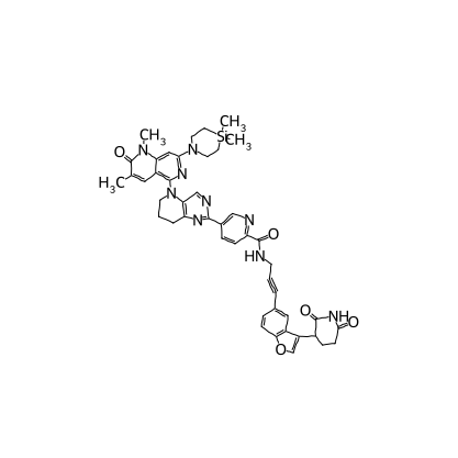 Cc1cc2c(N3CCCc4nc(-c5ccc(C(=O)NCC#Cc6ccc7occ(C8CCC(=O)NC8=O)c7c6)nc5)ncc43)nc(N3CC[Si](C)(C)CC3)cc2n(C)c1=O